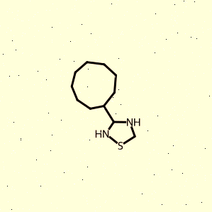 C1CCCCC(C2NCSN2)CCC1